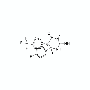 CN1C(=N)N[C@](C)(c2ccc(F)cc2)[C@H](c2ccc(C(F)(F)F)cc2)C1=O